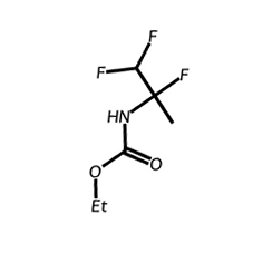 CCOC(=O)NC(C)(F)C(F)F